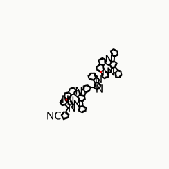 N#Cc1cccc(-c2nc(-n3c4ccccc4c4cc5c6cc(-c7cncc8c7c7ccccc7n8-c7ccc(-n8c9ccccc9c9cc%10c%11ccccc%11n%11c%12ccc%13ccccc%13c%12c(c98)c%10%11)nc7)ccc6n6c7ccc8ccccc8c7c(c43)c56)nc3ncccc23)c1